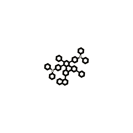 c1ccc(-c2ccc3c(c2)c2cc(-c4cccc5ccccc45)ccc2c2c(-c4ccc(N(c5ccccc5)c5ccccc5)cc4)c(-c4ccccc4)cc(-c4ccc(N(c5ccccc5)c5ccccc5)cc4)c32)cc1